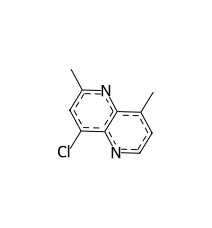 Cc1cc(Cl)c2nccc(C)c2n1